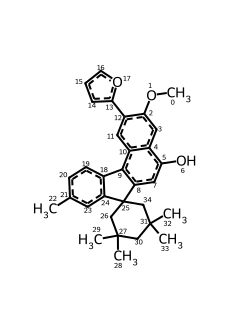 COc1cc2c(O)cc3c(c2cc1-c1ccco1)-c1ccc(C)cc1C31CC(C)(C)CC(C)(C)C1